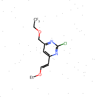 CCOC=Cc1cc(COCC(F)(F)F)nc(Cl)n1